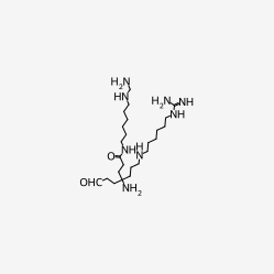 N=C(N)NCCCCCCNCCCC(N)(CCC=O)CCC(=O)NCCCCCCNCN